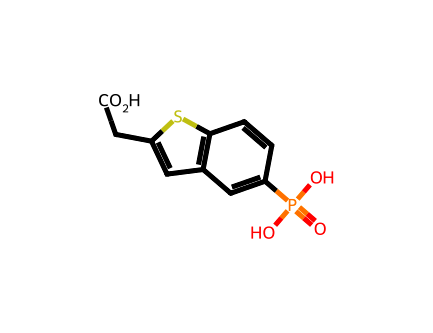 O=C(O)Cc1cc2cc(P(=O)(O)O)ccc2s1